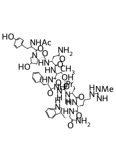 CNC(=N)NCCC[C@H](NC(=O)[C@H](CC(C)C)NC(=O)NNC(=O)[C@@H](Cc1ccccc1)NC(=O)[C@@H](NC(=O)[C@H](CC(N)=O)NC(=O)[C@@H]1C[C@@H](O)CN1C(=O)[C@@H](Cc1ccc(O)cc1)NC(C)=O)[C@@H](C)O)C(=O)N[C@@H](Cc1c[nH]c2ccccc12)C(N)=O